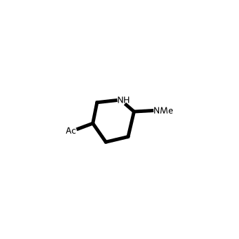 CNC1CCC(C(C)=O)CN1